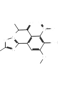 COc1cc(-c2noc(C)n2)c(C(=O)C(C)C)c([N+](=O)[O-])c1O